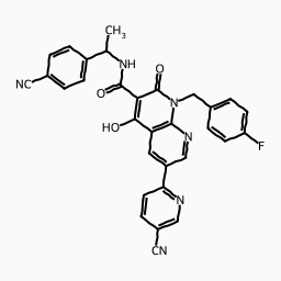 CC(NC(=O)c1c(O)c2cc(-c3ccc(C#N)cn3)cnc2n(Cc2ccc(F)cc2)c1=O)c1ccc(C#N)cc1